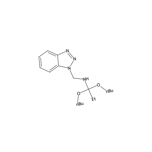 CCCCOC(CC)(NCn1nnc2ccccc21)OCCCC